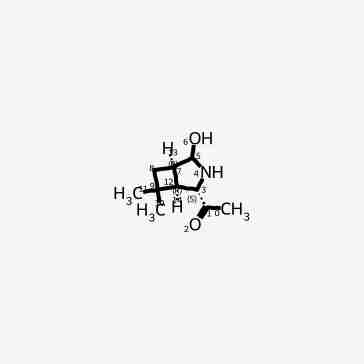 CC(=O)[C@H]1NC(O)[C@@H]2CC(C)(C)[C@H]12